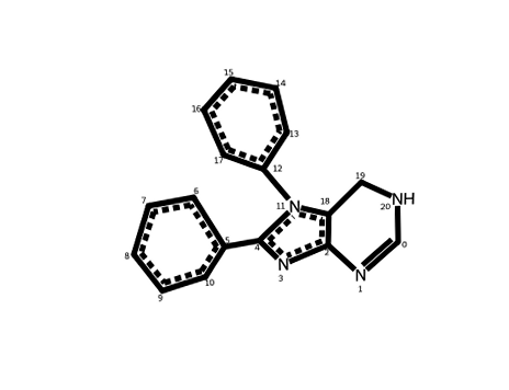 C1=Nc2nc(-c3ccccc3)n(-c3ccccc3)c2CN1